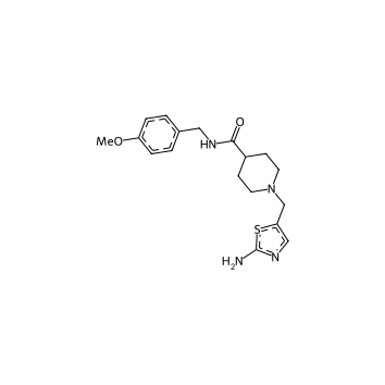 COc1ccc(CNC(=O)C2CCN(Cc3cnc(N)s3)CC2)cc1